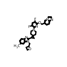 Cc1ccc2nc(C3CC34CCN(c3nc(OCc5ccc6nccn6c5)c(F)cc3F)CC4)n(CC3CCO3)c2c1